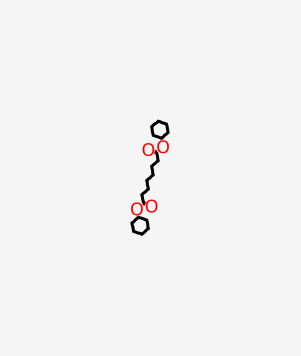 O=C(CCCCCCC(=O)OC1CCCCC1)OC1CCCCC1